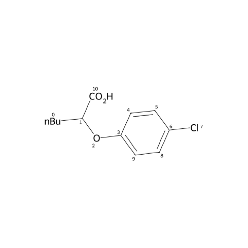 CCCCC(Oc1ccc(Cl)cc1)C(=O)O